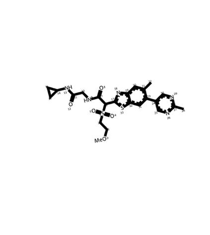 COCCS(=O)(=O)C(C(=O)NCC(=O)NC1CC1)c1nc2cc(C)c(-c3cnc(C)nc3)cc2s1